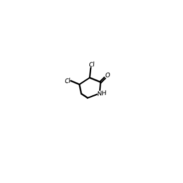 O=C1NCCC(Cl)C1Cl